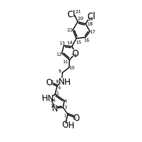 O=C(O)c1cc(C(=O)NCCc2ccc(-c3ccc(Cl)c(Cl)c3)o2)[nH]n1